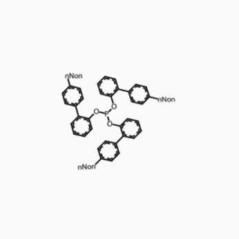 CCCCCCCCCc1ccc(-c2ccccc2OP(Oc2ccccc2-c2ccc(CCCCCCCCC)cc2)Oc2ccccc2-c2ccc(CCCCCCCCC)cc2)cc1